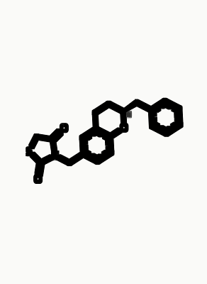 O=C1CSC(=O)N1Cc1ccc2c(c1)CC[C@@H](Cc1ccccc1)O2